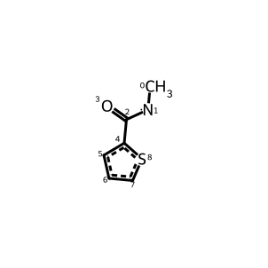 C[N]C(=O)c1cccs1